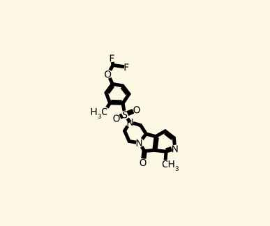 Cc1cc(OC(F)F)ccc1S(=O)(=O)N1CCN2C(=O)c3c(ccnc3C)C2C1